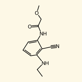 CCNc1cccc(NC(=O)COC)c1C#N